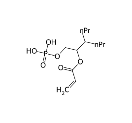 C=CC(=O)OC(COP(=O)(O)O)C(CCC)CCC